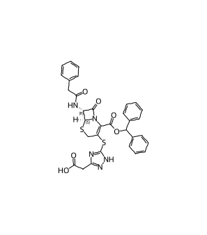 O=C(O)Cc1n[nH]c(SC2=C(C(=O)OC(c3ccccc3)c3ccccc3)N3C(=O)[C@@H](NC(=O)Cc4ccccc4)[C@@H]3SC2)n1